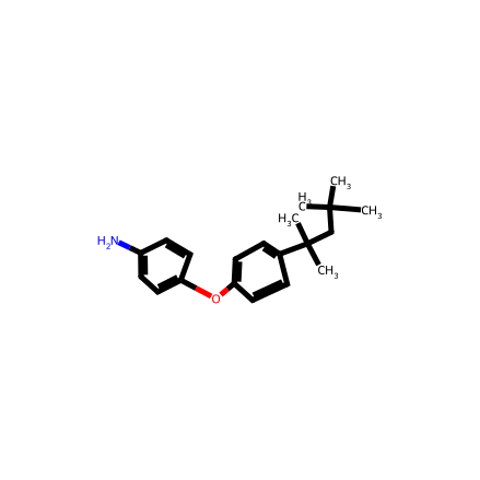 CC(C)(C)CC(C)(C)c1ccc(Oc2ccc(N)cc2)cc1